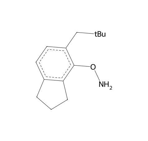 CC(C)(C)Cc1ccc2c(c1ON)CCC2